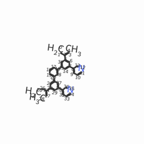 C=C/C(=C\C)c1cc(-c2cccnc2)cc(-c2cccc(-c3cc(/C(C=C)=C/C)cc(-c4cccnc4)c3)c2)c1